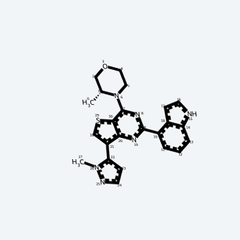 C[C@@H]1COCCN1c1nc(-c2cccc3[nH]ccc23)nc2c(-c3ccnn3C)csc12